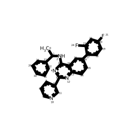 CC(Nc1nc(-c2cccnc2)nc2ccc(-c3ccc(F)cc3F)cc12)c1ccccc1